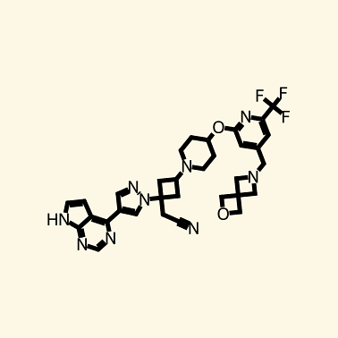 N#CCC1(n2cc(-c3ncnc4[nH]ccc34)cn2)CC(N2CCC(Oc3cc(CN4CC5(COC5)C4)cc(C(F)(F)F)n3)CC2)C1